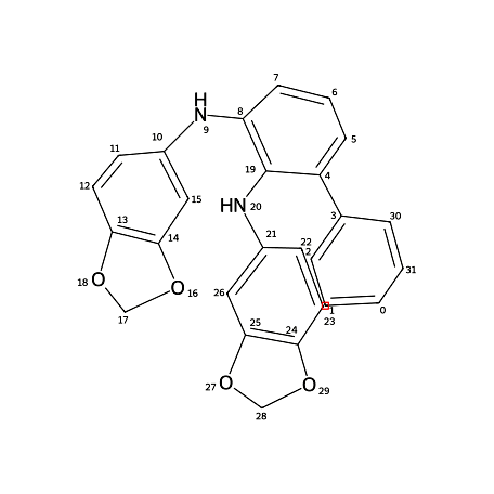 c1ccc(-c2cccc(Nc3ccc4c(c3)OCO4)c2Nc2ccc3c(c2)OCO3)cc1